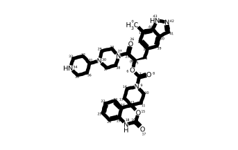 Cc1cc(C[C@@H](OC(=O)N2CCC3(CC2)OC(=O)Nc2ccccc23)C(=O)N2CCN(C3CCNCC3)CC2)cc2cn[nH]c12